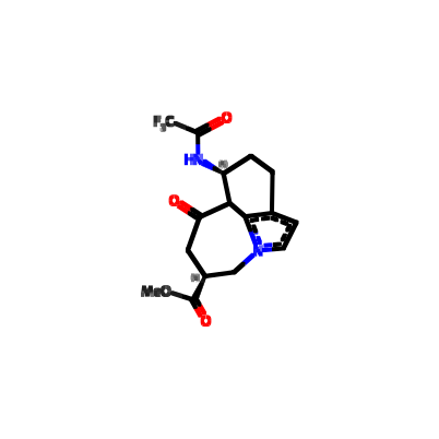 COC(=O)[C@H]1CC(=O)C2c3c(ccn3C1)CC[C@@H]2NC(=O)C(F)(F)F